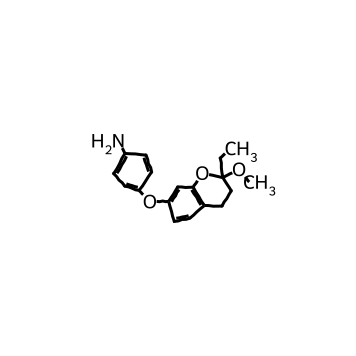 CCC1(OC)CCc2ccc(Oc3ccc(N)cc3)cc2O1